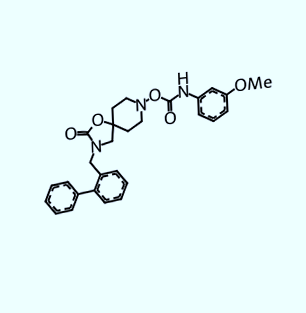 COc1cccc(NC(=O)ON2CCC3(CC2)CN(Cc2ccccc2-c2ccccc2)C(=O)O3)c1